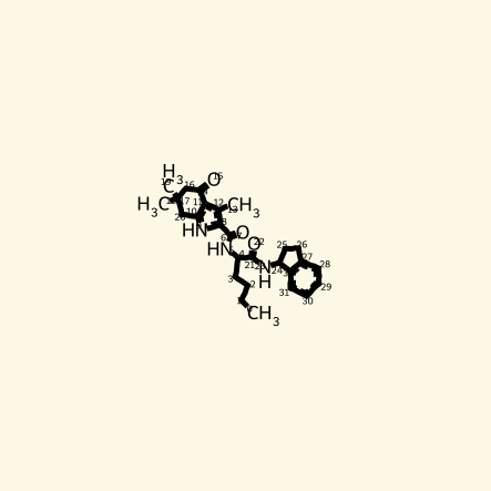 CCCCC(NC(=O)c1[nH]c2c(c1C)C(=O)CC(C)(C)C2)C(=O)NC1CCc2ccccc21